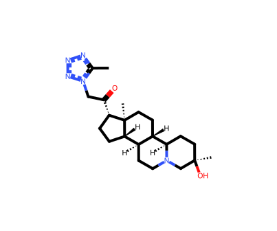 Cc1nnnn1CC(=O)[C@H]1CC[C@H]2[C@@H]3CCN4C[C@](C)(O)CC[C@@H]4[C@H]3CC[C@]12C